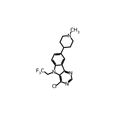 CN1CCC(c2ccc3c(c2)c2ncnc(Cl)c2n3CC(F)(F)F)CC1